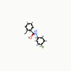 Cc1ccccc1C(=O)Nc1ccc(F)cc1